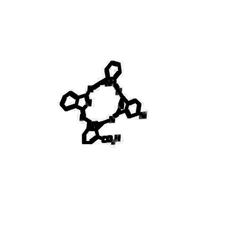 O=C(O)c1cccc2c3nc4nc(nc5[nH]c(nc6nc(nc([nH]3)c12)-c1ccccc1-6)c1ccccc51)-c1ccccc1-4.[Ni]